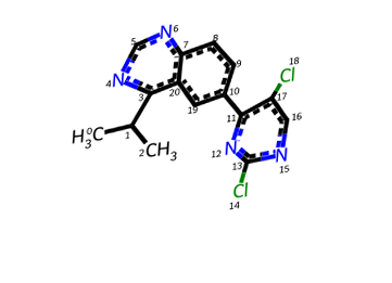 CC(C)c1ncnc2ccc(-c3nc(Cl)ncc3Cl)cc12